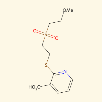 COCCS(=O)(=O)CCSc1ncccc1C(=O)O